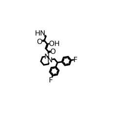 N=CC(=O)/C(O)=C/C(=O)N1CCCCN1CC(c1ccc(F)cc1)c1ccc(F)cc1